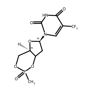 CP1(=O)OC[C@H]2O[C@@H](n3cc(C(F)(F)F)c(=O)[nH]c3=O)CC2O1